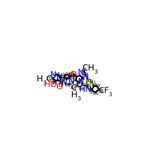 Cc1cnc2c(n1)c(=O)c(N1CCN(C(=O)c3ncnc(C)c3O)[C@H]3CC[C@@H]31)c1n2C(C(=O)Nc2ccc(C(F)(F)F)cc2Cl)CC1C